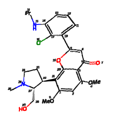 COc1cc(OC)c2c(=O)cc(-c3cccc(NC(C)C)c3Cl)oc2c1[C@@H]1CCN(C)[C@H]1CO